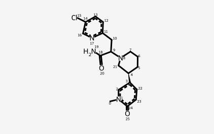 Cn1cc([C@@H]2CCCN(C(Cc3ccc(Cl)cn3)C(N)=O)C2)ccc1=O